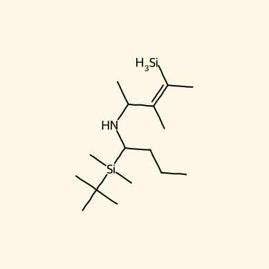 CCCC(NC(C)C(C)=C(C)[SiH3])[Si](C)(C)C(C)(C)C